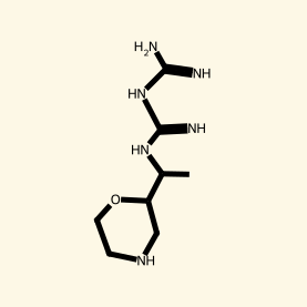 CC(NC(=N)NC(=N)N)C1CNCCO1